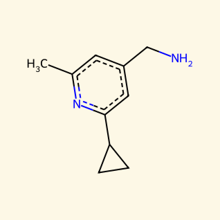 Cc1cc(CN)cc(C2CC2)n1